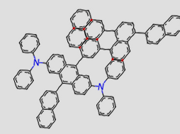 c1ccc(-c2cc(-c3c4ccc(N(c5ccccc5)c5ccccc5)cc4c(-c4ccc5ccccc5c4)c4ccc(N(c5ccccc5)c5ccccc5)cc34)cc(-c3cccc4c(-c5ccc6ccccc6c5)ccc(-c5ccc6ccccc6c5)c34)c2)cc1